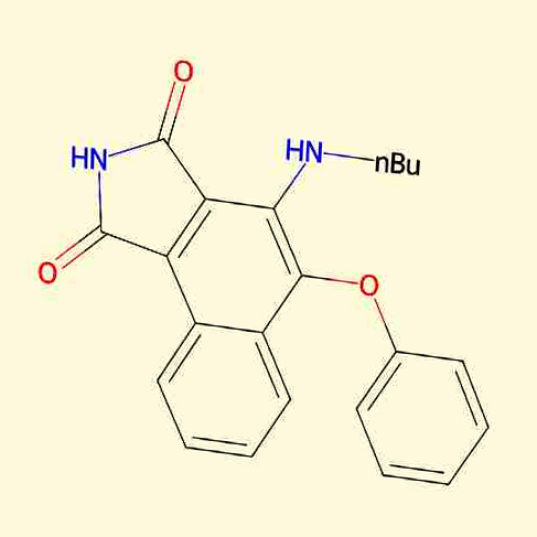 CCCCNc1c2c(c3ccccc3c1Oc1ccccc1)C(=O)NC2=O